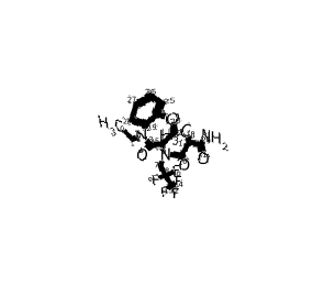 CCN1C(=O)[C@@H](N(CC(F)(F)C(F)(F)F)C(=O)C(C)C(N)=O)COc2ccccc21